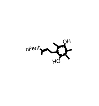 CCCCC/C(C)=C/Cc1c(C)c(O)c(C)c(C)c1O